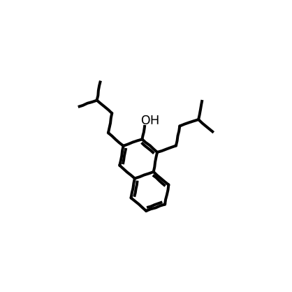 CC(C)CCc1cc2ccccc2c(CCC(C)C)c1O